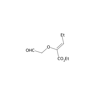 CCC=C(OCC=O)C(=O)OCC